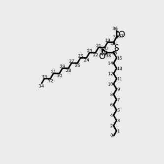 CCCCCCCCCCCCCCCCC(SC(CCCCCCCCCCCCCCCC)C1CO1)C1CO1